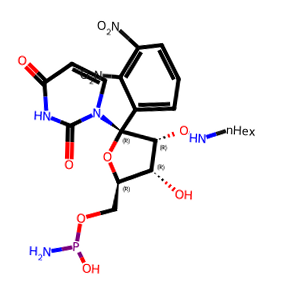 CCCCCCNO[C@@H]1[C@H](O)[C@@H](COP(N)O)O[C@@]1(c1cccc([N+](=O)[O-])c1[N+](=O)[O-])n1ccc(=O)[nH]c1=O